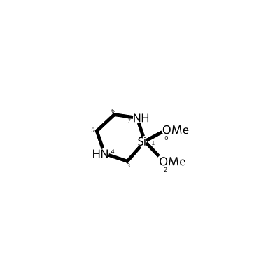 CO[Si]1(OC)CNCCN1